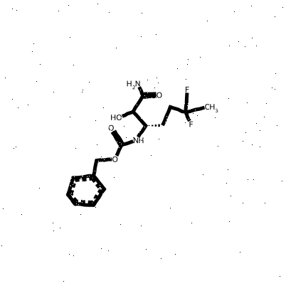 CC(F)(F)CC[C@H](NC(=O)OCc1ccccc1)C(O)C(N)=O